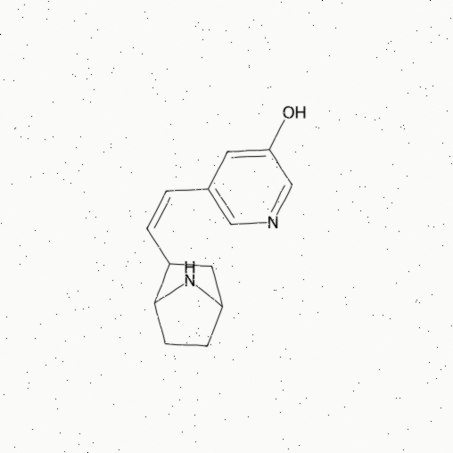 Oc1cncc(/C=C\C2CC3CCC2N3)c1